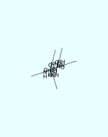 CCCCCCCCCCCCNC(=O)CCNC(C)(NCCC(=O)NCCCCCCCCCCCC)N(CCNCCN(CCC(=O)NCCCCCCCCCCCC)CCC(=O)NCCCCCCCCCCCC)CCC(=O)NCCCCCCCCCCCC